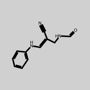 N#CC(=CNc1ccccc1)CNC=O